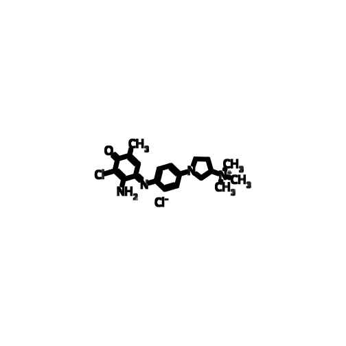 CC1=CC(=Nc2ccc(N3CCC([N+](C)(C)C)C3)cc2)C(N)=C(Cl)C1=O.[Cl-]